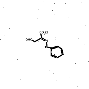 CCOC(=O)C(CC=O)=NNc1ccccc1